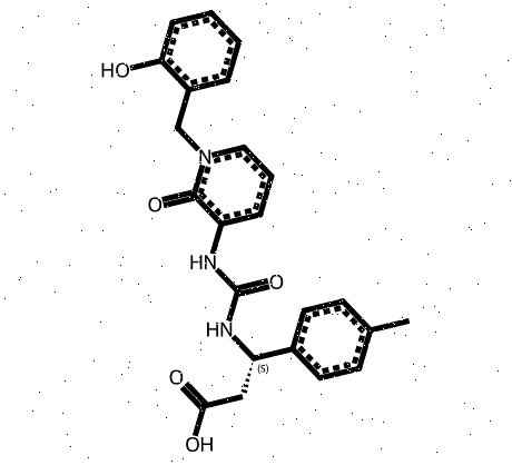 Cc1ccc([C@H](CC(=O)O)NC(=O)Nc2cccn(Cc3ccccc3O)c2=O)cc1